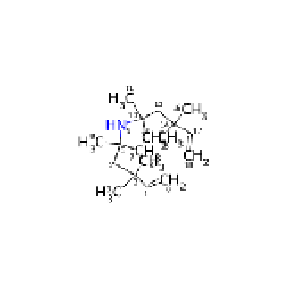 C=CC(C)(C)CC(C)(C)NC(C)(C)CC(C)(C)C=C